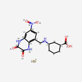 Br.O=C(O)[C@H]1CCC[C@@H](NCc2cc([N+](=O)[O-])cc3[nH]c(=O)c(=O)[nH]c23)C1